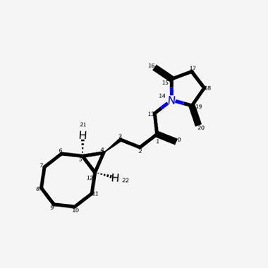 C=C(CC[C@@H]1[C@@H]2CCCCCC[C@@H]21)CN1C(=C)CCC1=C